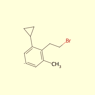 Cc1c[c]cc(C2CC2)c1CCBr